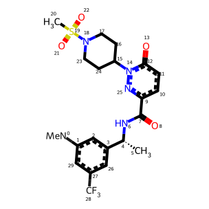 CNc1cc([C@@H](C)NC(=O)c2ccc(=O)n(C3CCN(S(C)(=O)=O)CC3)n2)cc(C(F)(F)F)c1